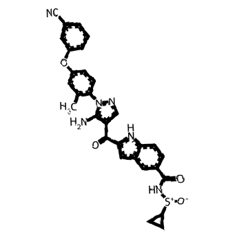 Cc1cc(Oc2cccc(C#N)c2)ccc1-n1ncc(C(=O)c2cc3cc(C(=O)N[S+]([O-])C4CC4)ccc3[nH]2)c1N